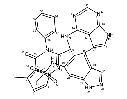 Cc1ccn2nc(C(C)Nc3ncnc4[nH]cc(-c5cc(NS(C)(=O)=O)cc6[nH]ncc56)c34)n(-c3ccccc3)c(=O)c12